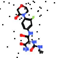 CC(C)NC(=O)N[C@H](C(N)=O)C(=O)Nc1ccc(N2CCOCC2=O)c(F)c1